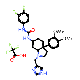 COc1ccc(C23CCC(NC(=O)Nc4ccc(F)c(F)c4)CC2N(Cc2c[nH]cn2)CC3)cc1OC.O=C(O)C(F)(F)F